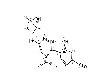 C#Cc1ccc(-c2nnc(NC3CC(C)(O)C3)cc2C(F)F)c(O)c1